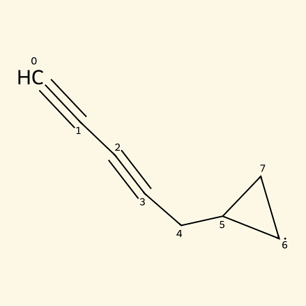 C#CC#CCC1[CH]C1